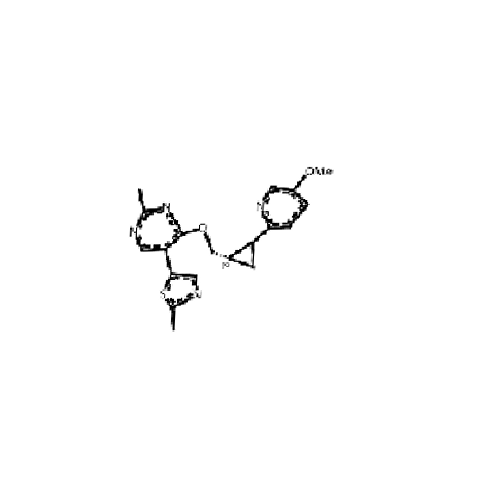 COc1ccc(C2C[C@@H]2COc2nc(C)ncc2-c2cnc(C)s2)nc1